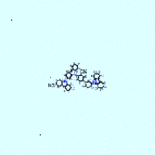 N#Cc1ccc2c(c1)c1ccccc1n2-c1ccc2c3ccccc3n(-c3ccc(-c4cccc(-n5c6ccccc6c6ccccc65)c4)cc3C#N)c2c1